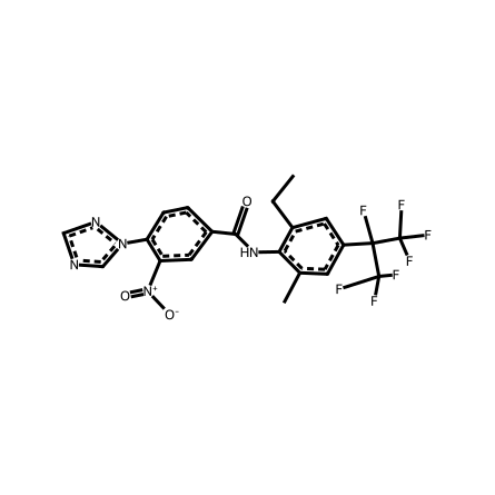 CCc1cc(C(F)(C(F)(F)F)C(F)(F)F)cc(C)c1NC(=O)c1ccc(-n2cncn2)c([N+](=O)[O-])c1